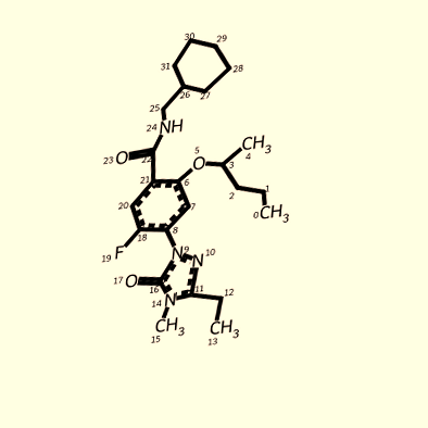 CCCC(C)Oc1cc(-n2nc(CC)n(C)c2=O)c(F)cc1C(=O)NCC1CCCCC1